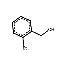 CCc1[c]cccc1CO